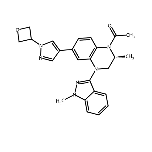 CC(=O)N1c2ccc(-c3cnn(C4COC4)c3)cc2N(c2nn(C)c3ccccc23)C[C@@H]1C